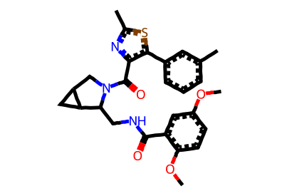 COc1ccc(OC)c(C(=O)NCC2C3CC3CN2C(=O)c2nc(C)sc2-c2cccc(C)c2)c1